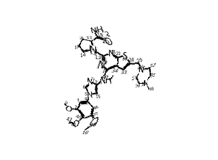 COc1cc(-n2cnc(Nc3nc(N4CCC[C@H]4C(N)=O)nc4sc(CN5CCN(C)CC5)cc34)c2)cc(OC)c1OC